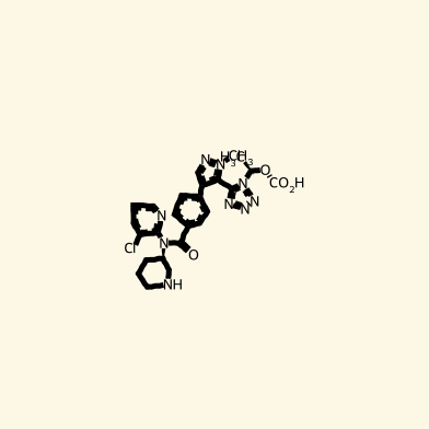 C[C@@H](OC(=O)O)n1nnnc1-c1c(-c2ccc(C(=O)N(c3ncccc3Cl)[C@@H]3CCCNC3)cc2)cnn1C